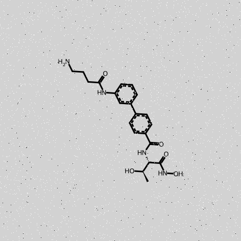 C[C@@H](O)[C@H](NC(=O)c1ccc(-c2cccc(NC(=O)CCCN)c2)cc1)C(=O)NO